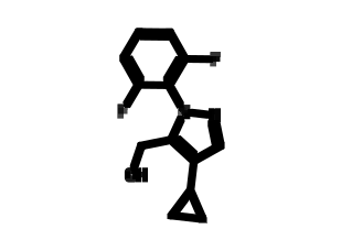 OCc1c(C2CC2)cnn1-c1c(F)cccc1F